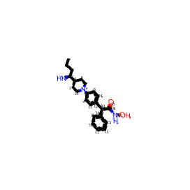 CCCC(=N)C1CCN(c2ccc(C(C(=O)NO)c3ccccc3)cc2)CC1